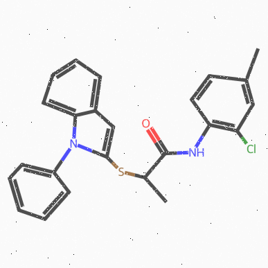 Cc1ccc(NC(=O)C(C)Sc2cc3ccccc3n2-c2ccccc2)c(Cl)c1